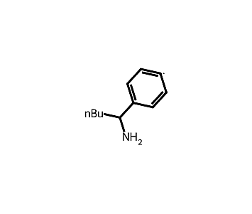 CCCCC(N)c1cc[c]cc1